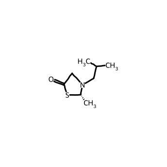 CC(C)CN1CC(=O)S[C@H]1C